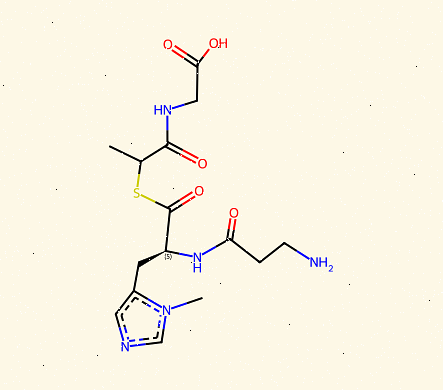 CC(SC(=O)[C@H](Cc1cncn1C)NC(=O)CCN)C(=O)NCC(=O)O